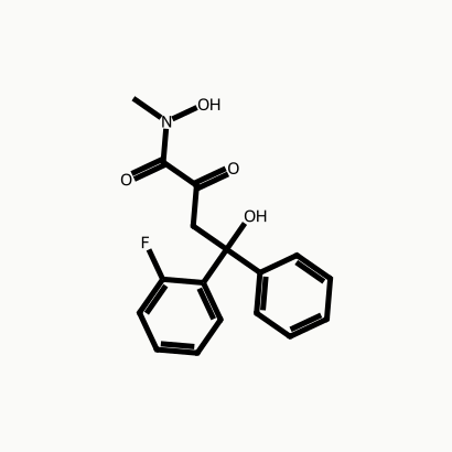 CN(O)C(=O)C(=O)CC(O)(c1ccccc1)c1ccccc1F